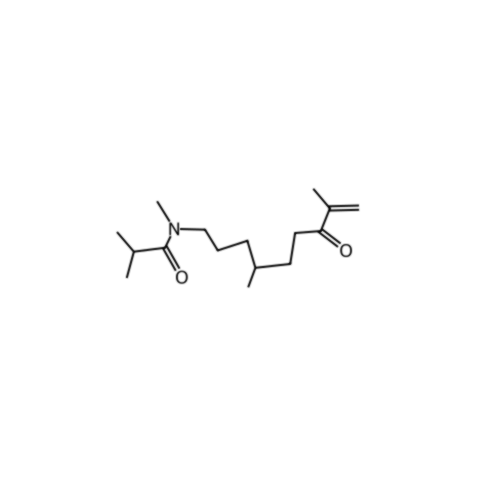 C=C(C)C(=O)CCC(C)CCCN(C)C(=O)C(C)C